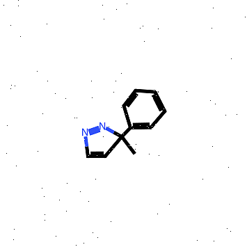 CC1(c2cc[c]cc2)C=CN=N1